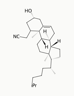 CC(C)CCC[C@@H](C)[C@H]1CC[C@H]2[C@@H]3CC=C4C[C@@H](O)CC(CC#N)[C@]4(C)[C@H]3CC[C@]12C